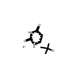 CC(C)(C)[O-].O=c1cc[nH]c(=O)[nH]1.[K+]